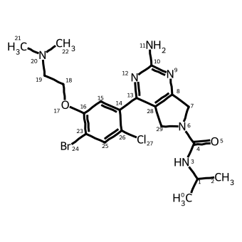 CC(C)NC(=O)N1Cc2nc(N)nc(-c3cc(OCCN(C)C)c(Br)cc3Cl)c2C1